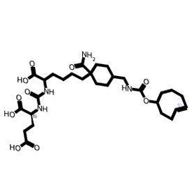 NC(=O)C1(CCCCC(NC(=O)N[C@@H](CCC(=O)O)C(=O)O)C(=O)O)CCC(CNC(=O)OC2CC/C=C/CCC2)CC1